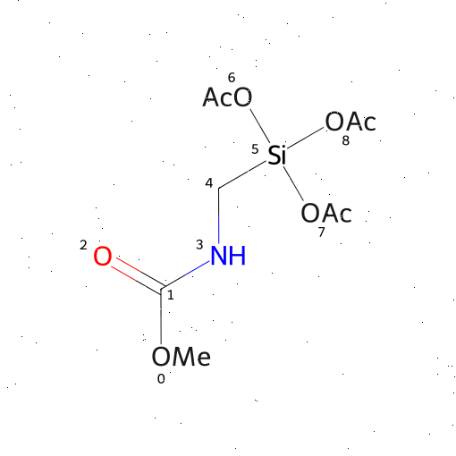 COC(=O)NC[Si](OC(C)=O)(OC(C)=O)OC(C)=O